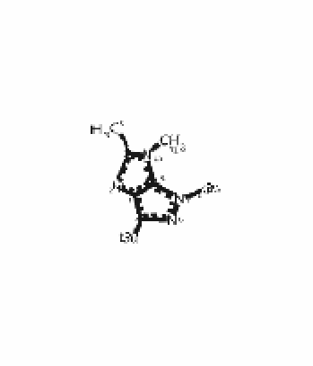 Cc1nc2c(C(C)(C)C)nn(C(C)(C)C)c2n1C